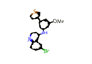 COc1cc(Nc2ccnc3ccc(Br)cc23)cc(-c2ccsc2)c1